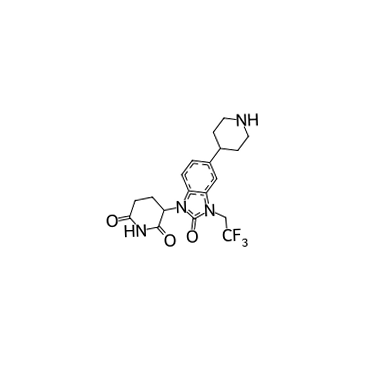 O=C1CCC(n2c(=O)n(CC(F)(F)F)c3cc(C4CCNCC4)ccc32)C(=O)N1